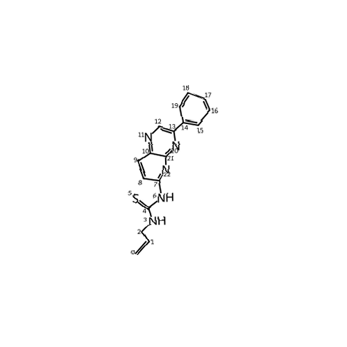 C=CCNC(=S)Nc1ccc2ncc(-c3ccccc3)nc2n1